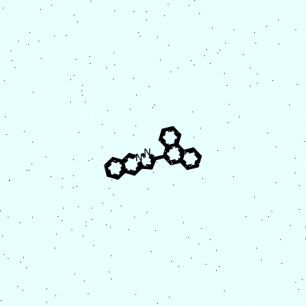 c1ccc2cn3nc(-c4cc5ccccc5c5ccccc45)cc3cc2c1